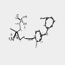 Cc1cccc(Oc2ccc(CCCC(C)(N)COP(=O)(O)O)c(Cl)c2)c1